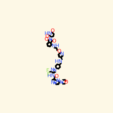 O=C1CCC(N2C(=O)c3cccc(NCCCOc4ccc(CNCC5CCC(n6cc(NC(=O)c7cnn8ccc(N9CCOCC9)nc78)c(C(F)F)n6)CC5)cn4)c3C2=O)C(=O)N1